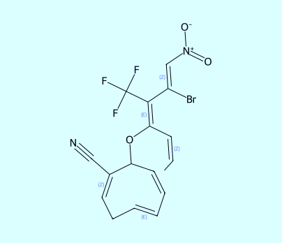 C\C=C/C(OC1C=C/C=C/C/C=C\1C#N)=C(\C(Br)=C\[N+](=O)[O-])C(F)(F)F